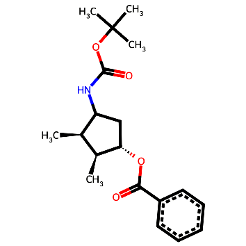 C[C@@H]1[C@@H](OC(=O)c2ccccc2)CC(NC(=O)OC(C)(C)C)[C@@H]1C